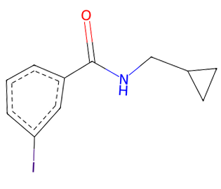 O=C(NCC1CC1)c1cccc(I)c1